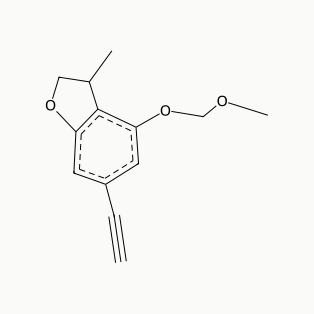 C#Cc1cc(OCOC)c2c(c1)OCC2C